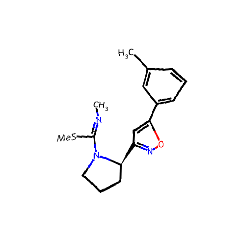 CN=C(SC)N1CCC[C@@H]1c1cc(-c2cccc(C)c2)on1